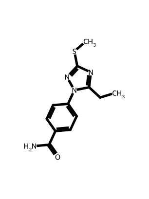 CCc1nc(SC)nn1-c1ccc(C(N)=O)cc1